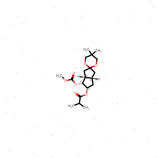 COC(=O)O[C@@H]1[C@@H]2CC3(C[C@@H]2C[C@H]1OC(=O)C(C)C)OCC(C)(C)CO3